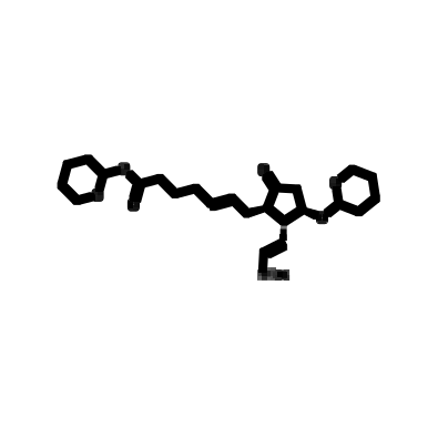 CCCCCC/C=C/[C@H]1[C@H](OC2CCCCO2)CC(=O)[C@@H]1CC=CCCCC(=O)OC1CCCCO1